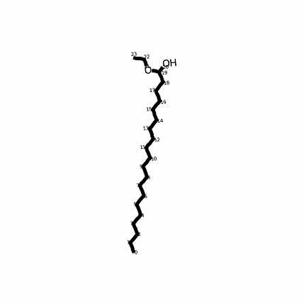 CCCCCCCCCCCCCCCCCCCC(O)OCC